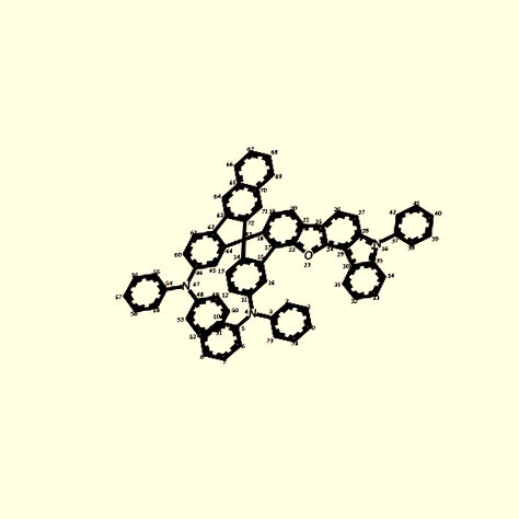 c1ccc(N(c2ccccc2)c2ccc3c(c2)-c2c(ccc4c2oc2c4ccc4c2c2ccccc2n4-c2ccccc2)C32c3cc(N(c4ccccc4)c4ccccc4)ccc3-c3cc4ccccc4cc32)cc1